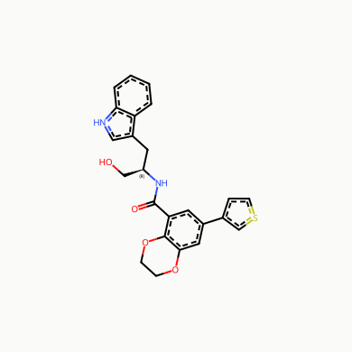 O=C(N[C@@H](CO)Cc1c[nH]c2ccccc12)c1cc(-c2ccsc2)cc2c1OCCO2